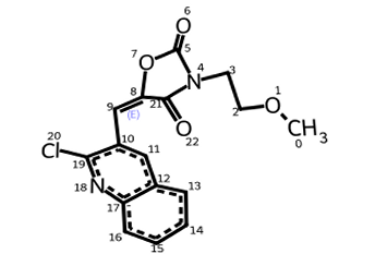 COCCN1C(=O)O/C(=C/c2cc3ccccc3nc2Cl)C1=O